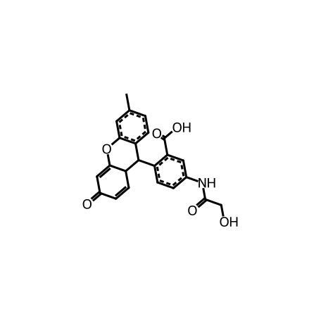 Cc1ccc2c(c1)OC1=CC(=O)C=CC1C2c1ccc(NC(=O)CO)cc1C(=O)O